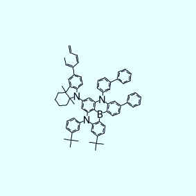 C=C/C=C\C(=C/C)c1ccc2c(c1)C1(C)CCCCC1(C)N2c1cc2c3c(c1)N(c1cccc(C(C)(C)C)c1)c1cc(C(C)(C)C)ccc1B3c1ccc(-c3ccccc3)cc1N2c1cccc(-c2ccccc2)c1